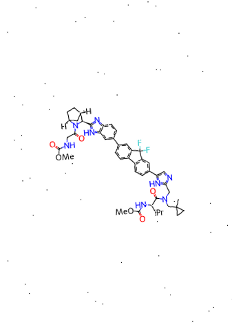 COC(=O)NCC(=O)N1[C@@H]2CC[C@@H](C2)[C@H]1c1nc2ccc(-c3ccc4c(c3)C(F)(F)c3cc(-c5cnc(CN(CC6(C)CC6)C(=O)C(NC(=O)OC)C(C)C)[nH]5)ccc3-4)cc2[nH]1